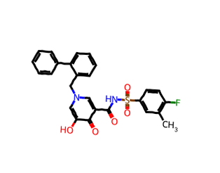 Cc1cc(S(=O)(=O)NC(=O)c2cn(Cc3ccccc3-c3ccccc3)cc(O)c2=O)ccc1F